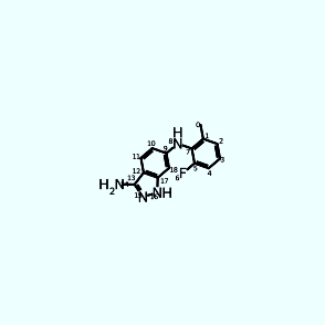 Cc1cccc(F)c1Nc1ccc2c(N)n[nH]c2c1